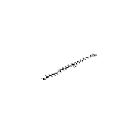 CCCCCCCCCCCCCCCCCCCCCOC(=O)CCCCCCCCCCCCCC=CCCCC(C)CCCC